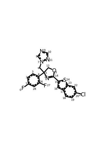 Fc1ccc(C2(Cn3cncn3)COC(c3cc4ccc(Cl)cc4s3)=N2)c(F)c1